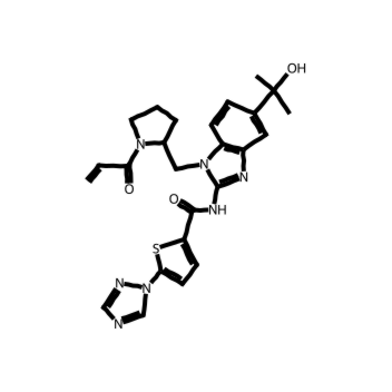 C=CC(=O)N1CCCC1Cn1c(NC(=O)c2ccc(-n3cncn3)s2)nc2cc(C(C)(C)O)ccc21